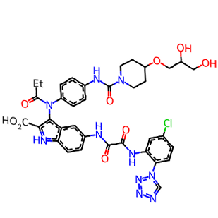 CCC(=O)N(c1ccc(NC(=O)N2CCC(OCC(O)CO)CC2)cc1)c1c(C(=O)O)[nH]c2ccc(NC(=O)C(=O)Nc3cc(Cl)ccc3-n3cnnn3)cc12